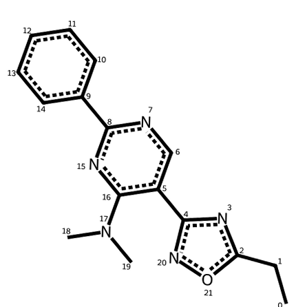 CCc1nc(-c2cnc(-c3ccccc3)nc2N(C)C)no1